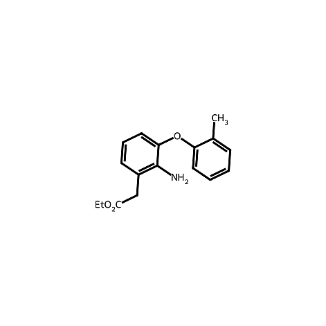 CCOC(=O)Cc1cccc(Oc2ccccc2C)c1N